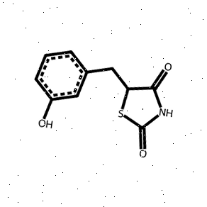 O=C1NC(=O)C(Cc2cccc(O)c2)S1